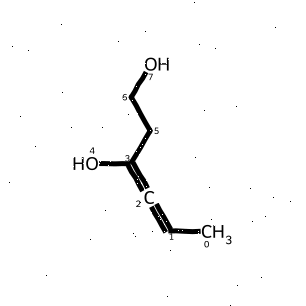 CC=C=C(O)CCO